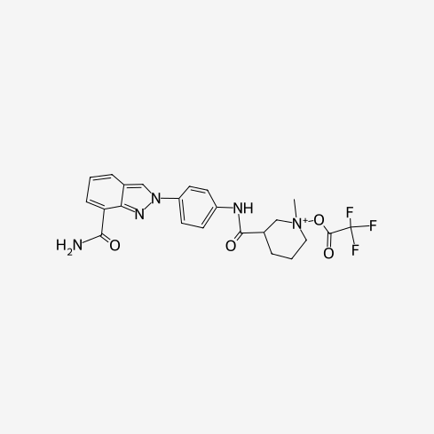 C[N+]1(OC(=O)C(F)(F)F)CCCC(C(=O)Nc2ccc(-n3cc4cccc(C(N)=O)c4n3)cc2)C1